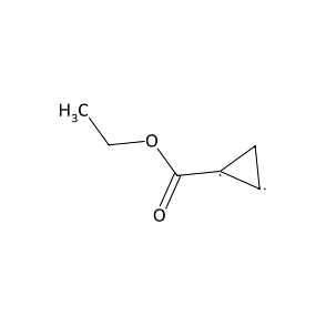 CCOC(=O)[C]1[CH]C1